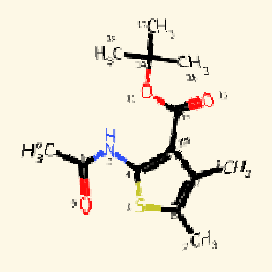 CC(=O)Nc1sc(C)c(C)c1C(=O)OC(C)(C)C